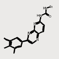 CCNC(=O)Nc1ccc2ncc(-c3cc(C)c(C)c(C)c3)nc2n1